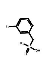 CCc1cc[c]c(CP(=O)(O)O)c1